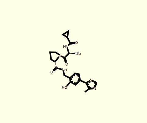 Cc1ncsc1-c1ccc(CNC(=O)[C@@H]2CCCN2C(=O)[C@@H](NC(=O)C2CC2)C(C)(C)C)c(O)c1